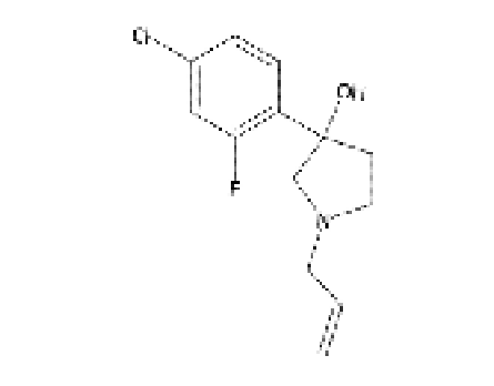 C=CCN1CCC(O)(c2ccc(Cl)cc2F)C1